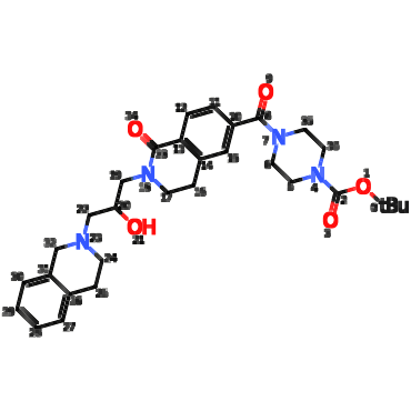 CC(C)(C)OC(=O)N1CCN(C(=O)c2ccc3c(c2)CCN(CC(O)CN2CCc4ccccc4C2)C3=O)CC1